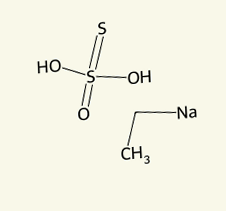 C[CH2][Na].O=S(O)(O)=S